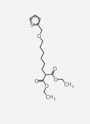 CCOC(=O)C(CCCCCCOCc1cccs1)C(=O)OCC